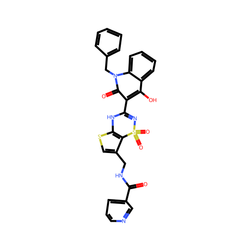 O=C(NCc1csc2c1S(=O)(=O)N=C(c1c(O)c3ccccc3n(Cc3ccccc3)c1=O)N2)c1cccnc1